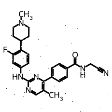 Cc1cnc(Nc2ccc(C3CCN(C)CC3)c(F)c2)nc1-c1ccc(C(=O)NCC#N)cc1